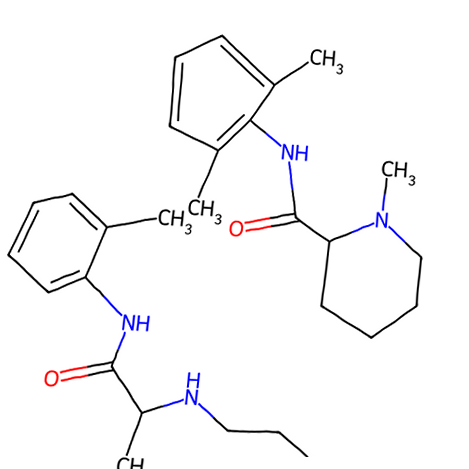 CCCNC(C)C(=O)Nc1ccccc1C.Cc1cccc(C)c1NC(=O)C1CCCCN1C